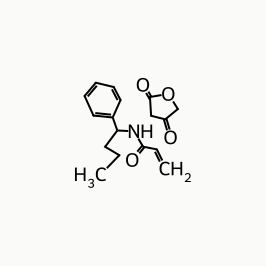 C=CC(=O)NC(CCC)c1ccccc1.O=C1COC(=O)C1